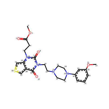 COC(=O)CCn1c(=O)n(CCN2CCN(c3cccc(OC)c3)CC2)c(=O)c2cscc21